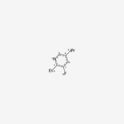 CCc1ncc(C(C)C)cc1F